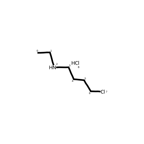 CCNCCCCCl.Cl